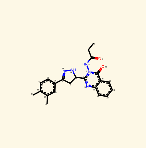 CCC(=O)Nn1c(C2CC(c3ccc(C)c(C)c3)=NN2)nc2ccccc2c1=O